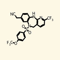 N#CCc1ccc2c(c1)N(S(=O)(=O)c1ccc(OC(F)(F)F)cc1)Cc1ccc(C(F)(F)F)nc1N2